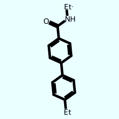 C[CH]NC(=O)c1ccc(-c2ccc(CC)cc2)cc1